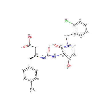 Cc1ccc(C[C@@H](CC(=O)O)NC(=O)Nc2c(O)ccn(Cc3ccccc3Cl)c2=O)cc1